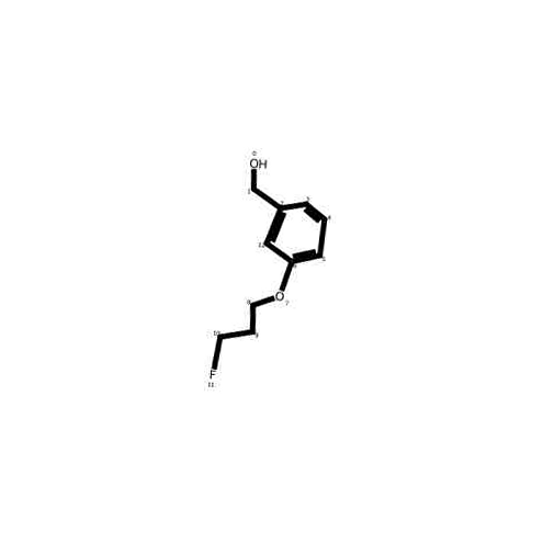 OCc1cccc(OCCCF)c1